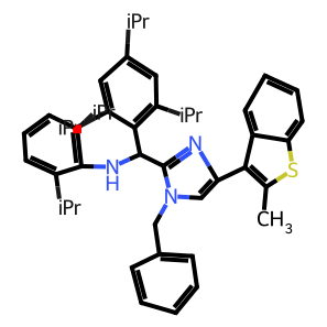 Cc1sc2ccccc2c1-c1cn(Cc2ccccc2)c(C(Nc2c(C(C)C)cccc2C(C)C)c2c(C(C)C)cc(C(C)C)cc2C(C)C)n1